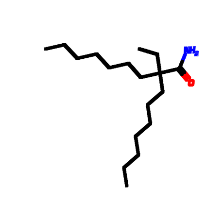 CCCCCCCC(CC)(CCCCCCC)C(N)=O